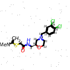 C=C(NC)SCC(=O)NC[C@H]1CN(Cc2ccc(Cl)c(Cl)c2)CCO1